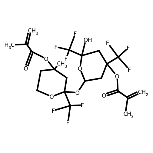 C=C(C)C(=O)OC1(C)CCOC(OC2CC(OC(=O)C(=C)C)(C(F)(F)F)CC(O)(C(F)(F)F)O2)(C(F)(F)F)C1